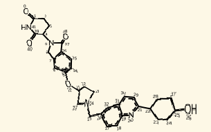 O=C1CCC(N2Cc3cc(OC4CCN(Cc5ccc6nc(C7CCC(O)CC7)ccc6c5)C4)ccc3C2=O)C(=O)N1